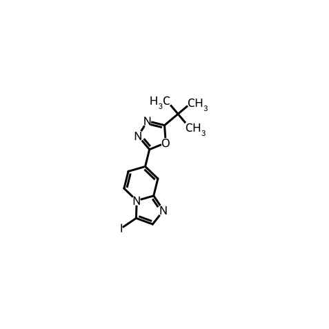 CC(C)(C)c1nnc(-c2ccn3c(I)cnc3c2)o1